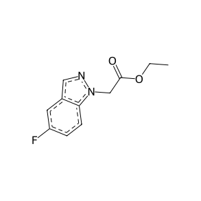 CCOC(=O)Cn1ncc2cc(F)ccc21